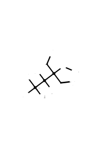 CCCCOC(CO)(CO)C(C)(C)C(C)([SiH3])Cl